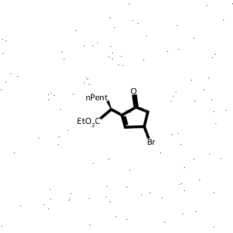 CCCCC[C@H](C(=O)OCC)C1=CC(Br)CC1=O